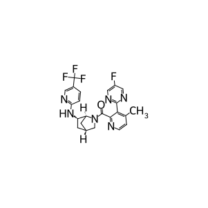 Cc1ccnc(C(=O)N2C[C@@H]3C[C@@H](Nc4ccc(C(F)(F)F)cn4)[C@@H]2C3)c1-c1ncc(F)cn1